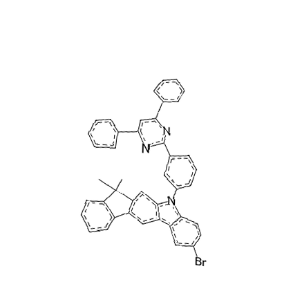 CC1(C)c2ccccc2-c2cc3c4cc(Br)ccc4n(-c4cccc(-c5nc(-c6ccccc6)cc(-c6ccccc6)n5)c4)c3cc21